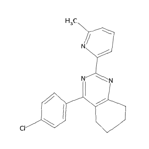 Cc1cccc(-c2nc3c(c(-c4ccc(Cl)cc4)n2)CCCC3)n1